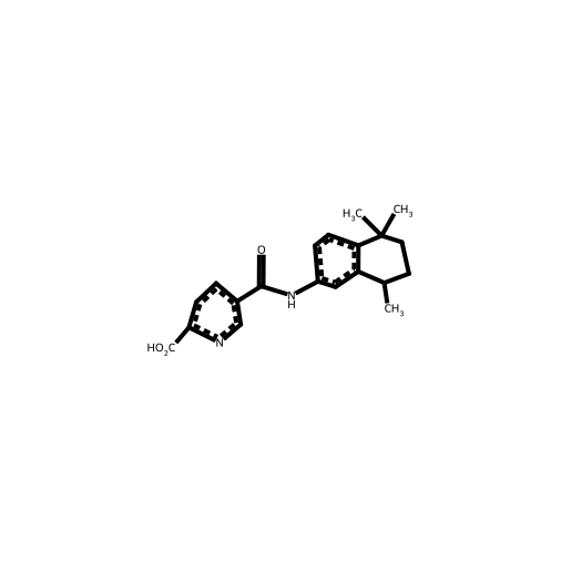 CC1CCC(C)(C)c2ccc(NC(=O)c3ccc(C(=O)O)nc3)cc21